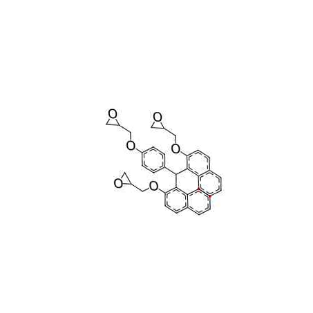 c1ccc2c(C(c3ccc(OCC4CO4)cc3)c3c(OCC4CO4)ccc4ccccc34)c(OCC3CO3)ccc2c1